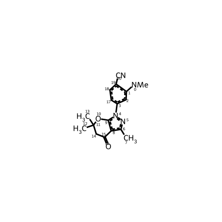 CNc1cc(-n2nc(C)c3c2OC(C)(C)CC3=O)ccc1C#N